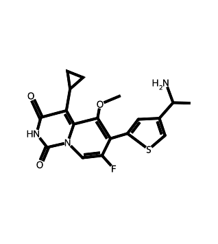 COc1c(-c2cc(C(C)N)cs2)c(F)cn2c(=O)[nH]c(=O)c(C3CC3)c12